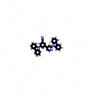 N#Cc1cc(-c2ccnc(-n3c4ccccc4c4ccccc43)c2)cc(-n2c3ccccc3c3ccccc32)c1